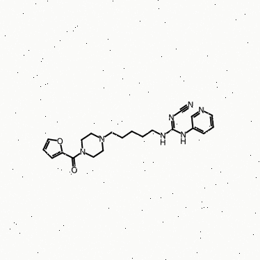 N#CN=C(NCCCCCN1CCN(C(=O)c2ccco2)CC1)Nc1cccnc1